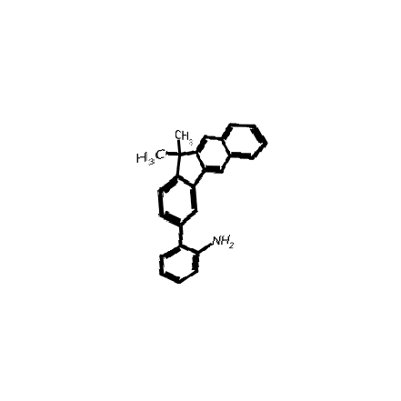 CC1(C)c2ccc(-c3ccccc3N)cc2-c2cc3ccccc3cc21